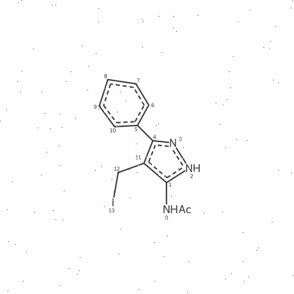 CC(=O)Nc1[nH]nc(-c2ccccc2)c1CI